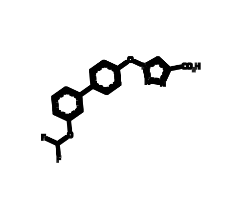 O=C(O)c1cn(Oc2ccc(-c3cccc(OC(F)F)c3)cc2)nn1